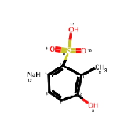 Cc1c(O)cccc1S(=O)(=O)O.[NaH]